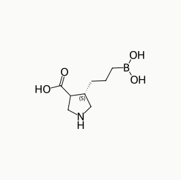 O=C(O)C1CNC[C@H]1CCCB(O)O